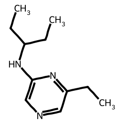 CCc1cncc(NC(CC)CC)n1